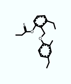 CCC(=S)Oc1cccc(CC)c1COc1ccc(CC)cc1C